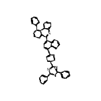 c1ccc(-c2nc(-c3ccccc3)nc(-c3ccc(-c4ccc(-c5nc6ccccc6c6c(-c7ccccc7)cccc56)c5ccccc45)cc3)n2)cc1